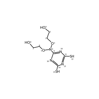 OCCON(OCCO)c1nc(S)nc(S)n1